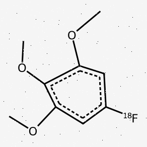 COc1cc([18F])cc(OC)c1OC